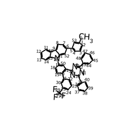 Cc1cccc(-c2ccc3c4ccccc4n(-c4ccc(-c5cccc(C(F)(F)F)c5)c(-c5nc(-c6ccccc6)nc(-c6ccccc6)n5)c4)c3c2)c1